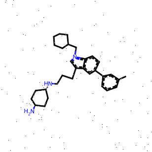 Cc1cccc(-c2ccc3c(c2)c(CCCN[C@H]2CC[C@H](N)CC2)cn3CC2CCCCC2)c1